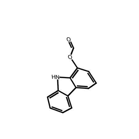 O=COc1cccc2c1[nH]c1ccccc12